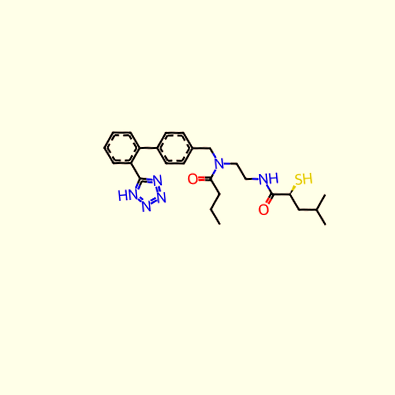 CCCC(=O)N(CCNC(=O)[C@@H](S)CC(C)C)Cc1ccc(-c2ccccc2-c2nnn[nH]2)cc1